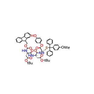 COc1ccc(C(SC[C@H](NC(=O)[C@H](CC(=O)OC(C)(C)C)NC(=O)[C@H](CC(=O)OC(C)(C)C)NC(=O)OCC2c3ccccc3-c3ccccc32)C(=O)Oc2ccc(O)cc2)(c2ccccc2)c2ccccc2)cc1